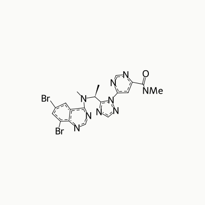 CNC(=O)c1cc(-n2ncnc2[C@H](C)N(C)c2ncnc3c(Br)cc(Br)cc23)ncn1